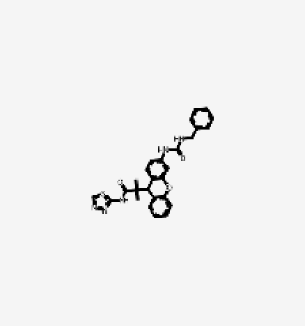 CC(C)(C(=O)Nc1nncs1)C1c2ccccc2Oc2cc(NC(=O)NCc3ccccc3)ccc21